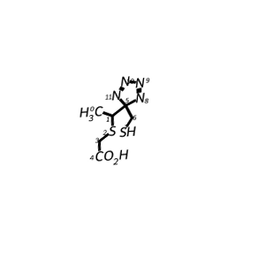 CC(SCC(=O)O)C1(CS)N=NN=N1